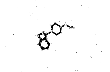 CC(C)(C)ON1CCN(c2nsc3ccccc23)CC1